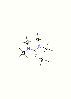 C[Si](C)(C)N=C(N([Si](C)(C)C)[Si](C)(C)C)N([Si](C)(C)C)[Si](C)(C)C